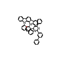 c1ccc(-c2cccc(-c3nc(-c4ccccc4)cc(-c4ccccc4-n4c5ccccc5c5ccc6c7ccccc7n(-c7cccc(-c8ccccc8)c7)c6c54)n3)c2)cc1